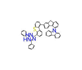 c1ccc(C2=NC(c3cccc4c3sc3cccc(-c5ccc6c(c5)Cc5cccc(-n7c8ccccc8c8ccccc87)c5-6)c34)NC(c3ccccc3)N2)cc1